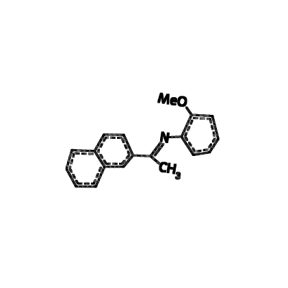 COc1ccccc1N=C(C)c1ccc2ccccc2c1